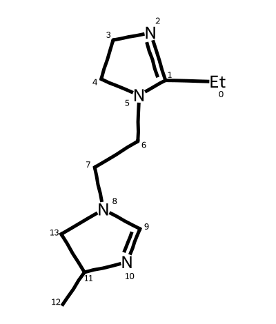 CCC1=NCCN1CCN1C=NC(C)C1